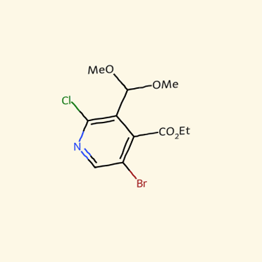 CCOC(=O)c1c(Br)cnc(Cl)c1C(OC)OC